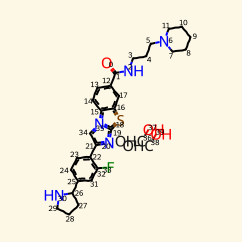 O=C(NCCCN1CCCCC1)c1ccc2c(c1)sc1nc(-c3ccc(C4CCCN4)cc3F)cn12.O=CO.O=CO